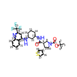 CC(C)(C)OC(=O)N1C[C@H](C(=O)N[C@@H]2CCC[C@H](Nc3cc(C(F)(F)F)nc4ccccc34)C2)[C@@H](c2ccsc2)C1